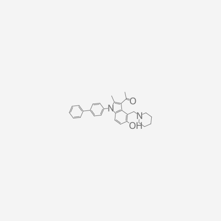 CC(=O)c1c(C)n(-c2ccc(-c3ccccc3)cc2)c2ccc(O)c(CN3CCCCC3)c12